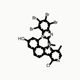 Cc1cnc(Cl)c2c1[nH]c1c2ccc2cc(O)cc(-n3c(N(C)C)nc4c(Br)c(Br)c(Br)c(Br)c43)c21